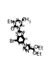 CCOC(OCC)c1cn(-c2cc(Br)c3sc(N4CN(C)CN(CC)C4=O)nc3c2)nn1